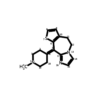 CN1CCC(=C2c3sccc3CCn3ccnc32)CC1